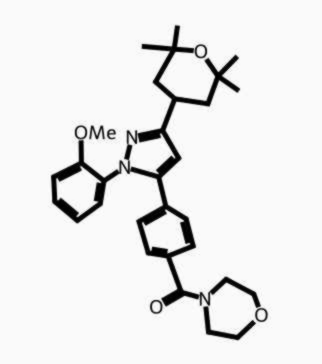 COc1ccccc1-n1nc(C2CC(C)(C)OC(C)(C)C2)cc1-c1ccc(C(=O)N2CCOCC2)cc1